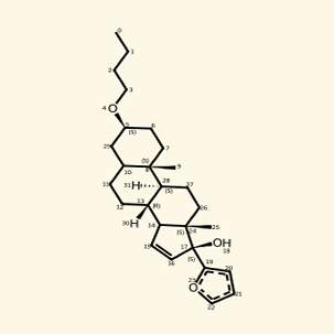 CCCCO[C@H]1CC[C@@]2(C)C(CC[C@H]3C4C=C[C@@](O)(c5ccco5)[C@@]4(C)CC[C@@H]32)C1